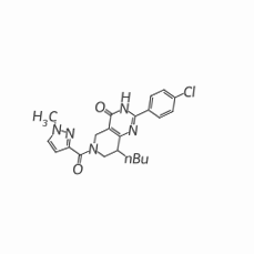 CCCCC1CN(C(=O)c2ccn(C)n2)Cc2c1nc(-c1ccc(Cl)cc1)[nH]c2=O